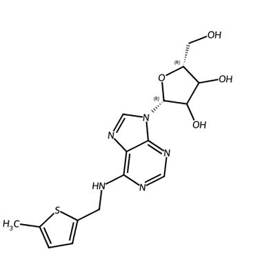 Cc1ccc(CNc2ncnc3c2ncn3[C@@H]2O[C@H](CO)C(O)C2O)s1